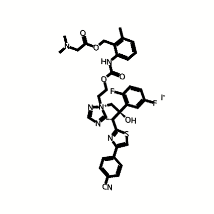 Cc1cccc(NC(=O)OCC[N+]2(C[C@](O)(c3cc(F)ccc3F)[C@@H](C)c3nc(-c4ccc(C#N)cc4)cs3)C=NC=N2)c1COC(=O)CN(C)C.[I-]